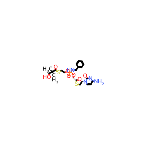 CC(C)(CO)C(=O)SCCOP(=O)(NCc1ccccc1)OC[C@@H]1O[C@H](n2ccc(N)nc2=O)CS1